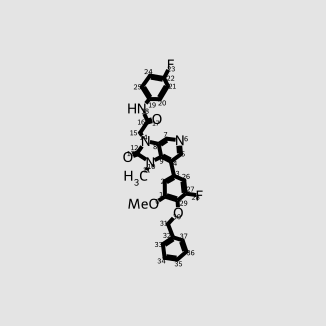 COc1cc(-c2cncc3c2n(C)c(=O)n3CC(=O)Nc2ccc(F)cc2)cc(F)c1OCc1ccccc1